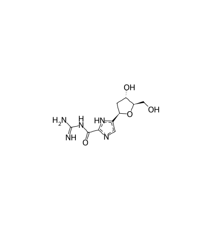 N=C(N)NC(=O)c1ncc([C@H]2C[C@H](O)[C@@H](CO)O2)[nH]1